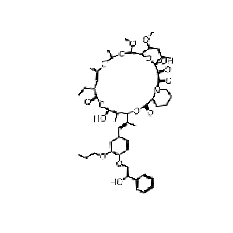 CCCOC1CC(C=C(C)C2OC(=O)C3CCCCN3C(=O)C(=O)C3(O)OC(C(OC)CC(C)C/C(C)=C/C(CC)C(=O)CC(O)C2C)C(OC)CC3C)CCC1OCC(O)c1ccccc1